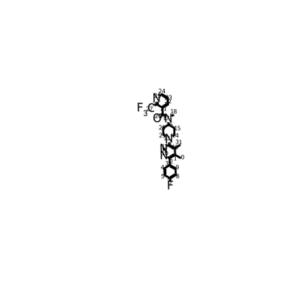 Cc1c(-c2ccc(F)cc2)nnc(N2CCC(N(C)C(=O)c3cccnc3C(F)(F)F)CC2)c1C